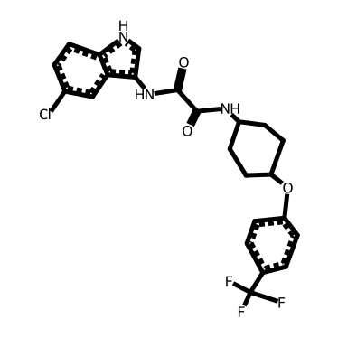 O=C(Nc1c[nH]c2ccc(Cl)cc12)C(=O)NC1CCC(Oc2ccc(C(F)(F)F)cc2)CC1